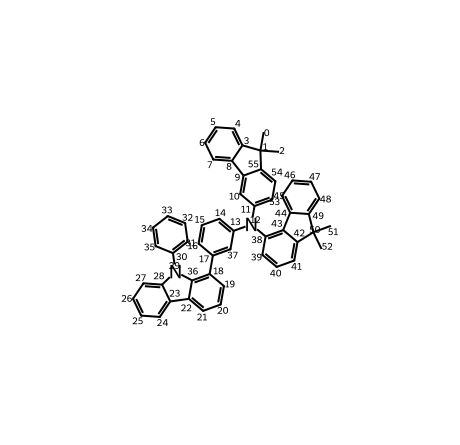 CC1(C)c2ccccc2-c2cc(N(c3cccc(-c4cccc5c6ccccc6n(-c6ccccc6)c45)c3)c3cccc4c3-c3ccccc3C4(C)C)ccc21